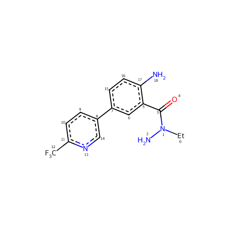 CCN(N)C(=O)c1cc(-c2ccc(C(F)(F)F)nc2)ccc1N